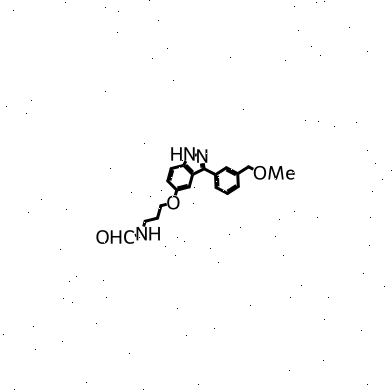 COCc1cccc(-c2n[nH]c3ccc(OCCCNC=O)cc23)c1